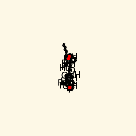 CCCCCC[C@]12CC[C@H]3[C@H](C)CC[C@H]4C(CNC(=O)C[C@H](NC(C)=O)C(=O)NCC5=C(C(F)(F)F)O[C@@H]6O[C@]7(C)CC[C@H]8[C@H](C)CC[C@@H]5[C@@]68OO7)=C(C(F)(F)F)O[C@H](O1)[C@]43OO2